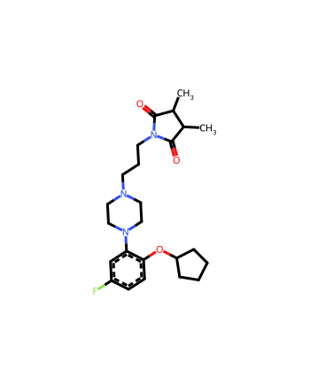 CC1C(=O)N(CCCN2CCN(c3cc(F)ccc3OC3CCCC3)CC2)C(=O)C1C